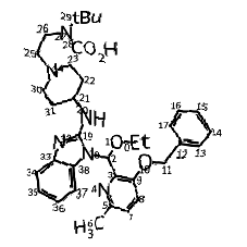 CCOC(c1nc(C)ccc1OCc1ccccc1)n1c(NC2CCN(CCN(C(=O)O)C(C)(C)C)CC2)nc2ccccc21